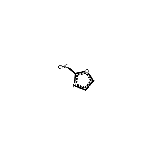 O=Cc1nc[c]o1